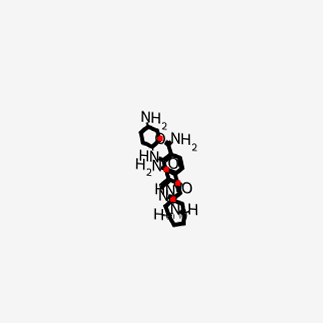 NC(=O)c1ccc(N2[C@@H]3CC[C@H]2C[C@@H](NC(=O)c2ccc(C(N)=O)c(N[C@H]4CC[C@H](N)CC4)c2)C3)nc1